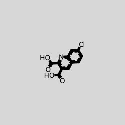 O=C(O)c1cc2ccc(Cl)cc2nc1C(=O)O